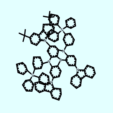 CC(C)(C)c1ccc2c(c1)c1cc(C(C)(C)C)ccc1n2-c1cc2c3c(c1)N(c1cccc([Si](c4ccccc4)(c4ccccc4)c4ccccc4)c1)c1cc(-n4c5ccccc5c5ccccc54)ccc1B3c1cc(-n3c4ccccc4c4ccccc43)ccc1N2c1cccc([Si](c2ccccc2)(c2ccccc2)c2ccccc2)c1